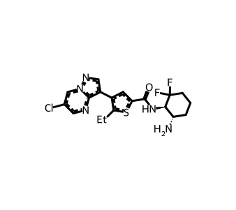 CCc1sc(C(=O)N[C@@H]2[C@@H](N)CCCC2(F)F)cc1-c1cnn2cc(Cl)cnc12